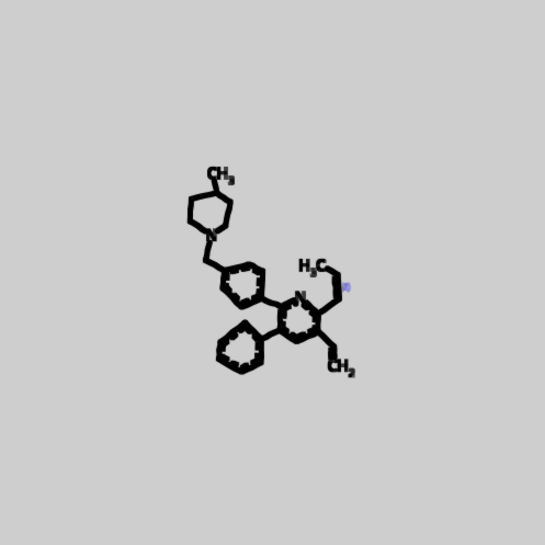 C=Cc1cc(-c2ccccc2)c(-c2ccc(CN3CCC(C)CC3)cc2)nc1/C=C\C